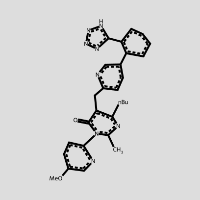 CCCCc1nc(C)n(-c2ccc(OC)cn2)c(=O)c1Cc1ccc(-c2ccccc2-c2nnn[nH]2)cn1